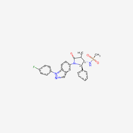 CC1C(=O)N(c2ccc3c(cnn3-c3ccc(F)cc3)c2)[C@H](c2ccccc2)[C@H]1NS(C)(=O)=O